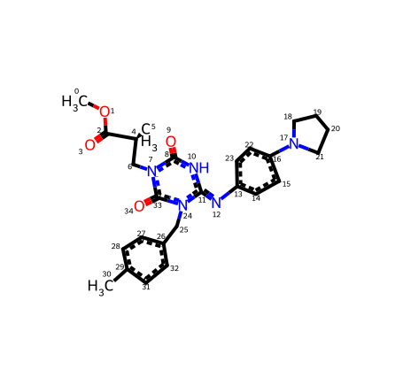 COC(=O)[C@@H](C)Cn1c(=O)[nH]/c(=N\c2ccc(N3CCCC3)cc2)n(Cc2ccc(C)cc2)c1=O